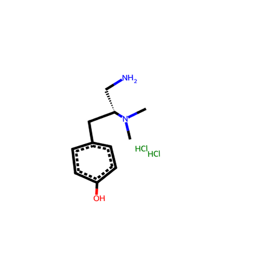 CN(C)[C@@H](CN)Cc1ccc(O)cc1.Cl.Cl